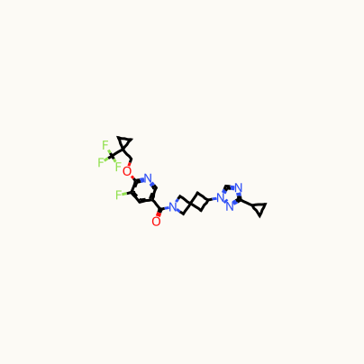 O=C(c1cnc(OCC2(C(F)(F)F)CC2)c(F)c1)N1CC2(CC(n3cnc(C4CC4)n3)C2)C1